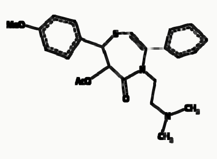 COc1ccc(C2SC=C(c3ccccc3)N(CCN(C)C)C(=O)C2OC(C)=O)cc1